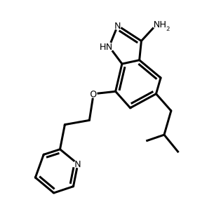 CC(C)Cc1cc(OCCc2ccccn2)c2[nH]nc(N)c2c1